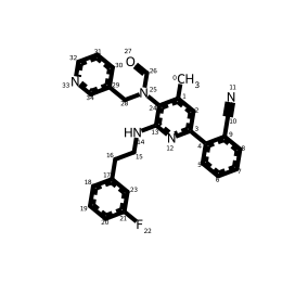 Cc1cc(-c2ccccc2C#N)nc(NCCc2cccc(F)c2)c1N(C=O)Cc1cccnc1